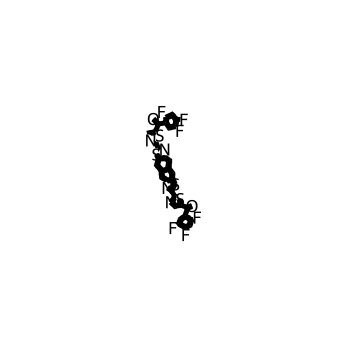 O=C(c1cnc(-c2nc3cc4cc5sc(-c6ncc(C(=O)c7cc(F)c(F)cc7F)s6)nc5cc4cc3s2)s1)c1cc(F)c(F)cc1F